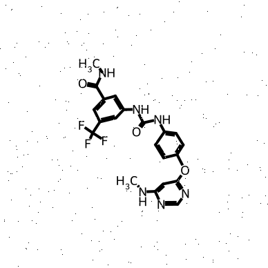 CNC(=O)c1cc(NC(=O)Nc2ccc(Oc3cc(NC)ncn3)cc2)cc(C(F)(F)F)c1